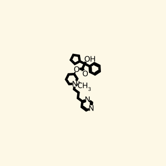 C[N+]1(CCCc2ccncn2)CCC[C@@H](OC(=O)C(O)(c2ccccc2)C2CCCC2)C1